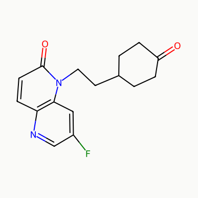 O=C1CCC(CCn2c(=O)ccc3ncc(F)cc32)CC1